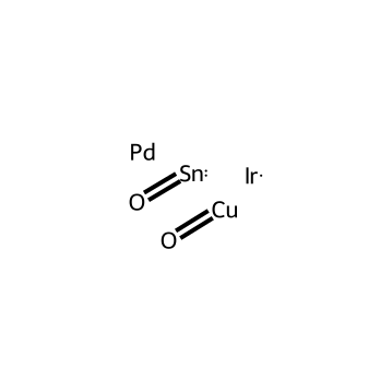 [Ir].[O]=[Cu].[O]=[Sn].[Pd]